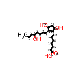 CCCC(O)CCC=C[C@@H]1[C@@H](CCCCCCC(=O)O)[C@@H](O)C[C@H]1O